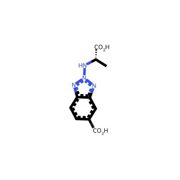 C[C@H](Nn1nc2ccc(C(=O)O)cc2n1)C(=O)O